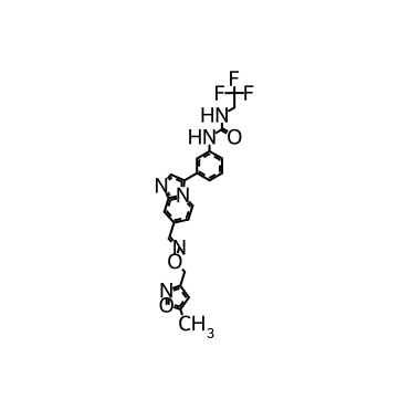 Cc1cc(CO/N=C/c2ccn3c(-c4cccc(NC(=O)NCC(F)(F)F)c4)cnc3c2)no1